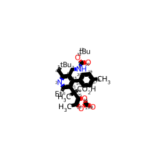 CCc1nc(CC(C)(C)C)c(CNC(=O)OC(C)(C)C)c(-c2ccc(C)cc2)c1C(C)(C(=O)O)c1oc(=O)oc1C